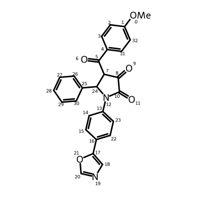 COc1ccc(C(=O)C2C(=O)C(=O)N(c3ccc(-c4cnco4)cc3)C2c2ccccc2)cc1